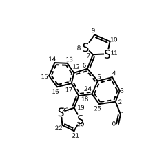 C=Cc1ccc2c(=C3SC=CS3)c3ccccc3c(=C3SC=CS3)c2c1